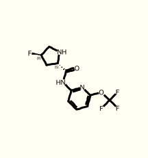 O=C(Nc1cccc(OC(F)(F)F)n1)[C@@H]1C[C@@H](F)CN1